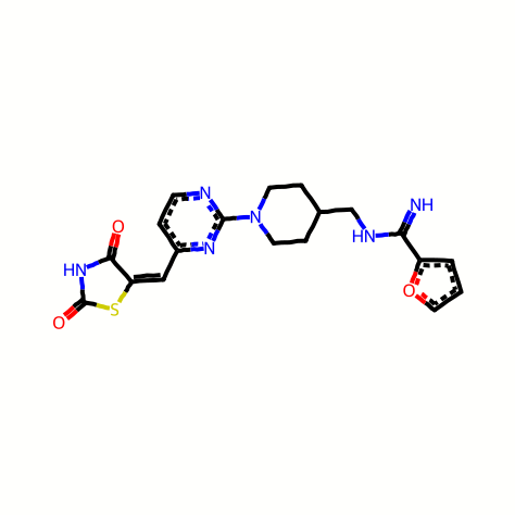 N=C(NCC1CCN(c2nccc(/C=C3/SC(=O)NC3=O)n2)CC1)c1ccco1